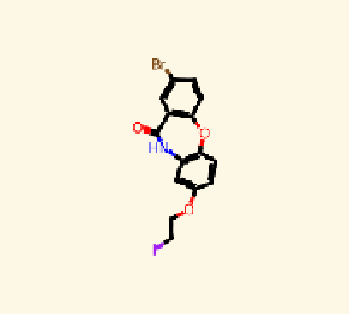 O=C1Nc2cc(OCCI)ccc2Oc2ccc(Br)cc21